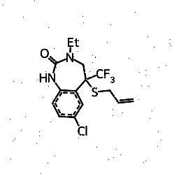 C=CCSC1(C(F)(F)F)CN(CC)C(=O)Nc2ccc(Cl)cc21